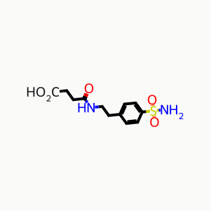 NS(=O)(=O)c1ccc(CCNC(=O)CCC(=O)O)cc1